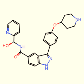 O=C(N[C@@H](O)c1ccccn1)c1ccc2[nH]nc(-c3ccc(OC4CCNCC4)cc3)c2c1